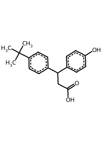 CC(C)(C)c1ccc(C(CC(=O)O)c2ccc(O)cc2)cc1